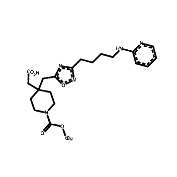 CC(C)(C)OC(=O)N1CCC(CC(=O)O)(Cc2nc(CCCCNc3ccccn3)no2)CC1